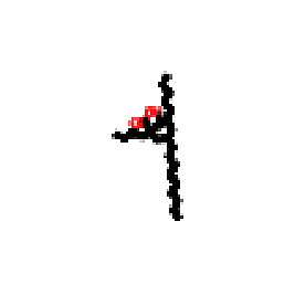 CCCCCCCCCC(CCCCCCC)CC(CC)(CCCC)C(=O)O